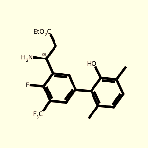 CCOC(=O)C[C@H](N)c1cc(-c2c(C)ccc(C)c2O)cc(C(F)(F)F)c1F